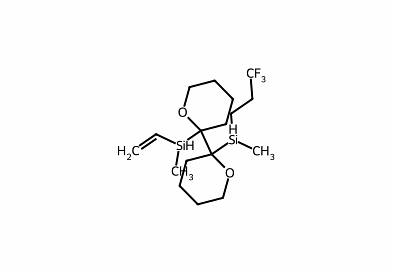 C=C[SiH](C)C1(C2([SiH](C)CCC(F)(F)F)CCCCO2)CCCCO1